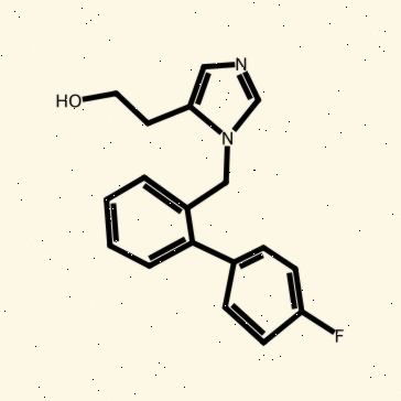 OCCc1cncn1Cc1ccccc1-c1ccc(F)cc1